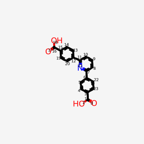 O=C(O)c1ccc(-c2cccc(-c3ccc(C(=O)O)cc3)n2)cc1